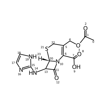 CC(=O)OCC1=C(C(=O)O)N2C(=O)C(Nc3ncc[nH]3)[C@@H]2SC1